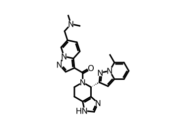 Cc1cccc2cc([C@@H]3c4nc[nH]c4CCN3C(=O)c3cnn4cc(CN(C)C)ccc34)nn12